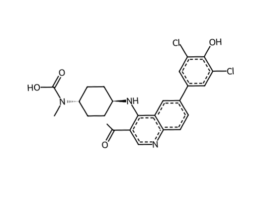 CC(=O)c1cnc2ccc(-c3cc(Cl)c(O)c(Cl)c3)cc2c1N[C@H]1CC[C@H](N(C)C(=O)O)CC1